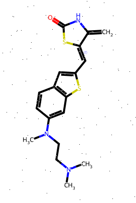 C=c1[nH]c(=O)s/c1=C\c1cc2ccc(N(C)CCN(C)C)cc2s1